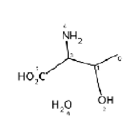 CC(O)C(N)C(=O)O.O